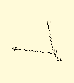 CCCCCCCCCCCCCCCCCCC1N(CCC)C=CN1CCCCCCCCCCCCCC